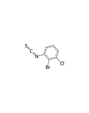 S=C=Nc1cccc(Cl)c1Br